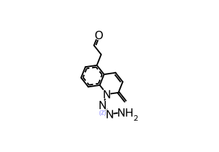 C=C1C=Cc2c(CC=O)cccc2N1/N=N\N